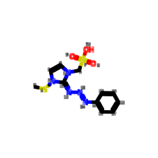 CSn1ccn(CS(=O)(=O)O)/c1=N\N=N\c1ccccc1